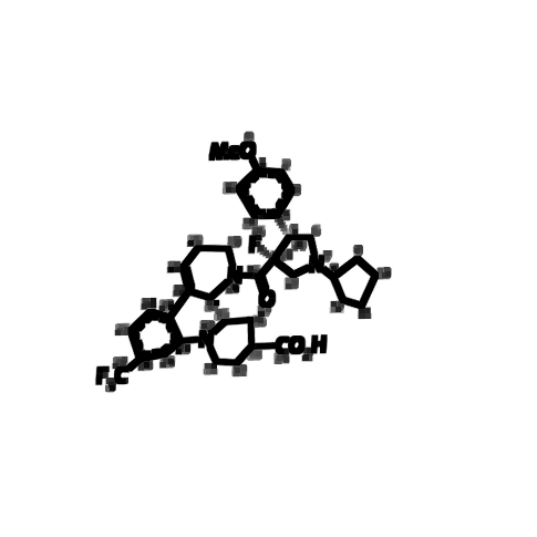 COc1ccc([C@@H]2CN(C3CCCC3)C[C@@]2(F)C(=O)N2CCC=C(c3ccc(C(F)(F)F)cc3N3CCC(C(=O)O)CC3)C2)cc1